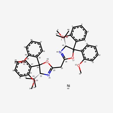 COc1ccccc1C1(c2ccccc2OC)OC(CC2=N[C@H](C(C)C)C(c3ccccc3OC)(c3ccccc3OC)O2)=N[C@@H]1C(C)C.[Ni]